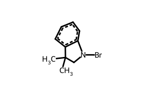 CC1(C)CN(Br)c2ccccc21